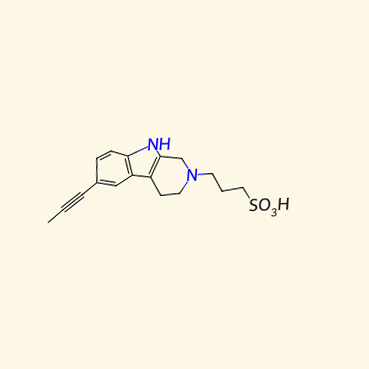 CC#Cc1ccc2[nH]c3c(c2c1)CCN(CCCS(=O)(=O)O)C3